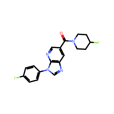 O=C(c1cnc2c(c1)ncn2-c1ccc(F)cc1)N1CCC(F)CC1